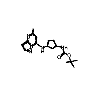 Cc1cc(N[C@H]2CC[C@@H](NC(=O)OC(C)(C)C)C2)n2nccc2n1